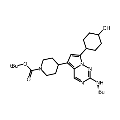 CC[C@H](C)Nc1ncc2c(C3CCN(C(=O)OC(C)(C)C)CC3)cc(C3CCC(O)CC3)n2n1